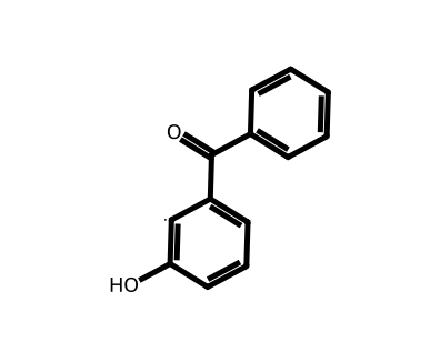 O=C(c1[c]c(O)ccc1)c1ccccc1